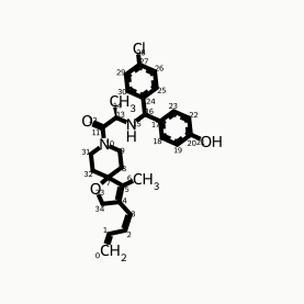 C=C/C=C\C1=C(C)C2(CCN(C(=O)[C@@H](C)NC(c3ccc(O)cc3)c3ccc(Cl)cc3)CC2)OC1